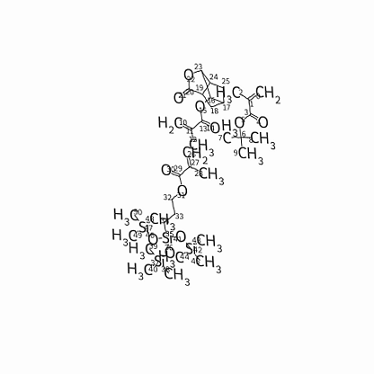 C=C(C)C(=O)OC(C)(C)C.C=C(C)C(=O)OC1C2CC3C(=O)OC1C3C2.C=C(C)C(=O)OCCC[Si](O[Si](C)(C)C)(O[Si](C)(C)C)O[Si](C)(C)C